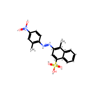 Cc1cc([N+](=O)[O-])ccc1/N=N/c1cc(S(=O)(=O)O)c2ccccc2c1C